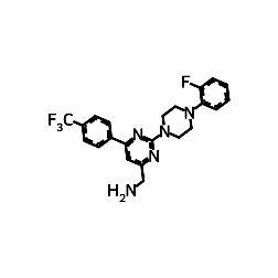 NCc1cc(-c2ccc(C(F)(F)F)cc2)nc(N2CCN(c3ccccc3F)CC2)n1